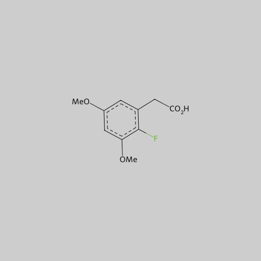 COc1cc(CC(=O)O)c(F)c(OC)c1